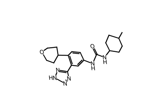 CC1CCC(NC(=O)Nc2ccc(C3CCOCC3)c(-c3nn[nH]n3)c2)CC1